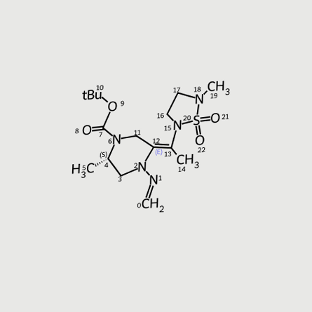 C=NN1C[C@H](C)N(C(=O)OC(C)(C)C)C/C1=C(/C)N1CCN(C)S1(=O)=O